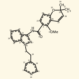 COc1c(C(=O)Nc2nn(CCc3ccncc3)c3ccccc23)ccc2c1C=CC(C)(C)O2